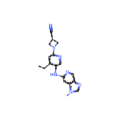 CCc1cc(N2CC(C#N)C2)ncc1Nc1cc2c(cn1)ncn2C